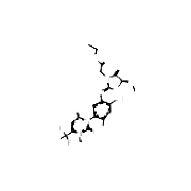 CCOC(=O)CN1C(=O)C(SC)SC1=Nc1cc(-n2c(=O)cc(C(F)(F)F)n(C)c2=O)c(F)cc1Cl